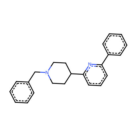 c1ccc(CN2CCC(c3cccc(-c4ccccc4)n3)CC2)cc1